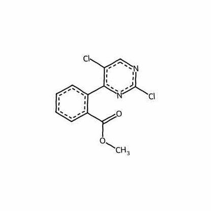 COC(=O)c1ccccc1-c1nc(Cl)ncc1Cl